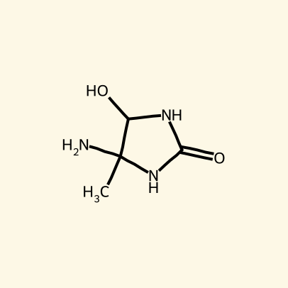 CC1(N)NC(=O)NC1O